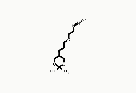 CC1(C)OCC(CCCOCCN=[N+]=[N-])CO1